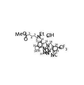 CCN(CCCCC(=O)OC)Cc1cc2c(cc1CN(Cc1cc(C#N)cc(C(F)(F)F)c1)c1nnn(C)n1)CCC2.Cl